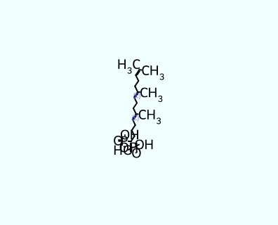 CC(C)=CCC/C(C)=C/CC/C(C)=C/CCCC(P(=O)(O)O)P(=O)(O)O